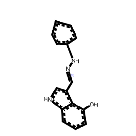 Oc1cccc2[nH]cc(/C=N/Nc3ccccc3)c12